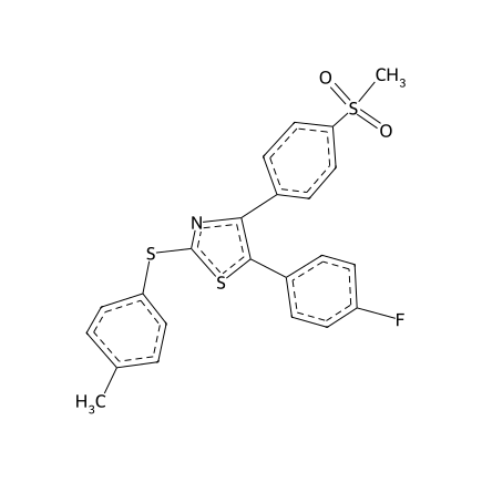 Cc1ccc(Sc2nc(-c3ccc(S(C)(=O)=O)cc3)c(-c3ccc(F)cc3)s2)cc1